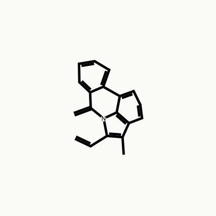 C=Cc1c(C)c2cccc3c4ccccc4c(=C)n1c23